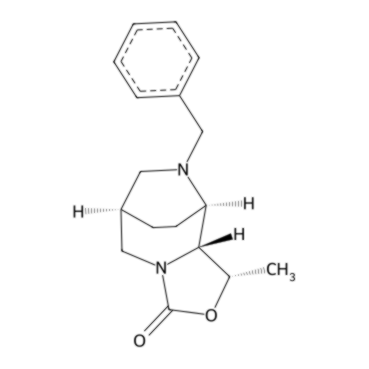 C[C@@H]1OC(=O)N2C[C@@H]3CC[C@H]([C@H]12)N(Cc1ccccc1)C3